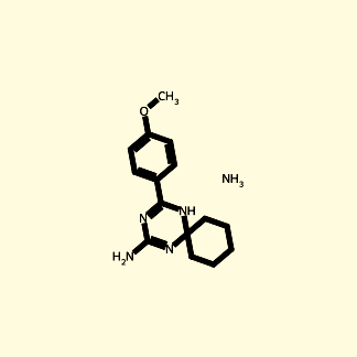 COc1ccc(C2=NC(N)=NC3(CCCCC3)N2)cc1.N